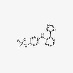 FC(F)(Cl)Oc1ccc(Nc2ncccc2-c2nnco2)cc1